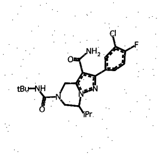 CC(C)C1CN(C(=O)NC(C)(C)C)Cc2c(C(N)=O)c(-c3ccc(F)c(Cl)c3)nn21